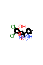 NC(=O)C1(Cc2cc(Cl)cc(Cl)c2O)C(=O)Nc2c[c]ccc21